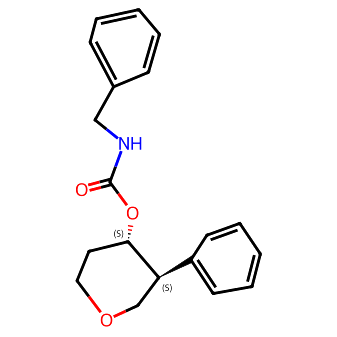 O=C(NCc1ccccc1)O[C@H]1CCOC[C@@H]1c1ccccc1